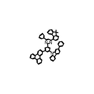 CC1(C)c2ccccc2-c2c(-c3cc(-c4ccccc4)nc(-c4cc(-c5ccc6c7ccccc7c7ccccc7c6c5)cc(-n5c6ccccc6c6ccc(-c7ccccc7)cc65)c4)n3)cccc21